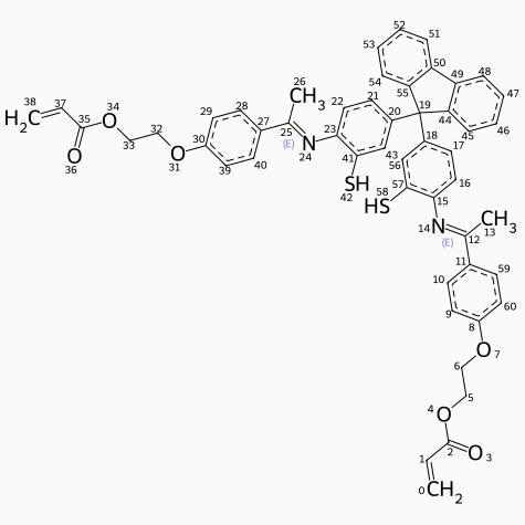 C=CC(=O)OCCOc1ccc(/C(C)=N/c2ccc(C3(c4ccc(/N=C(\C)c5ccc(OCCOC(=O)C=C)cc5)c(S)c4)c4ccccc4-c4ccccc43)cc2S)cc1